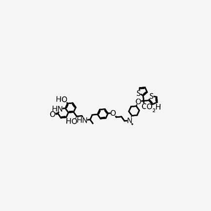 CC(Cc1ccc(OCCCN(C)[C@H]2CC[C@H](OC(C(=O)O)(c3cccs3)c3cccs3)CC2)cc1)NC[C@H](O)c1ccc(O)c2[nH]c(=O)ccc12